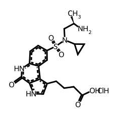 C[C@@H](N)CN(C1CC1)S(=O)(=O)c1ccc2[nH]c(=O)c3[nH]cc(CCCC(=O)O)c3c2c1.Cl